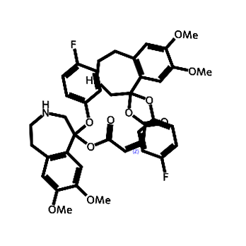 COc1cc2c(cc1OC)C(OC(=O)/C=C\C(=O)OC1(Oc3ccc(F)cc3)CNCCc3cc(OC)c(OC)cc31)(Oc1ccc(F)cc1)CNCC2